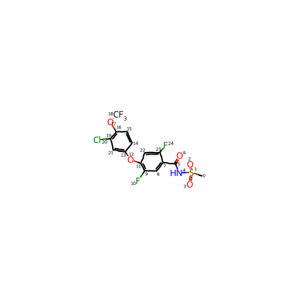 CS(=O)(=O)NC(=O)c1cc(F)c(Oc2ccc(OC(F)(F)F)c(Cl)c2)cc1F